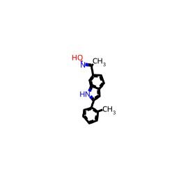 CC(=NO)c1ccc2cc(-c3ccccc3C)[nH]c2c1